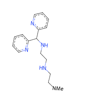 CNCCNCCNC(c1ccccn1)c1ccccn1